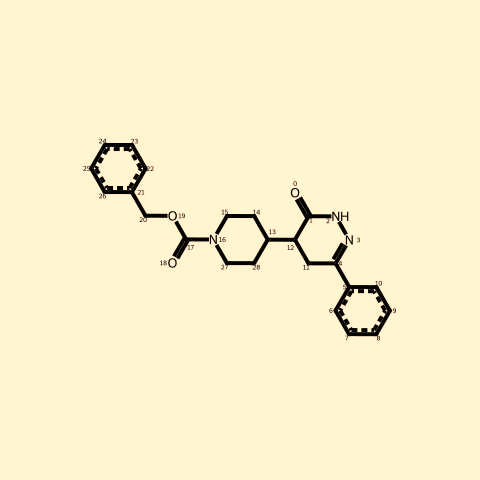 O=C1NN=C(c2ccccc2)CC1C1CCN(C(=O)OCc2ccccc2)CC1